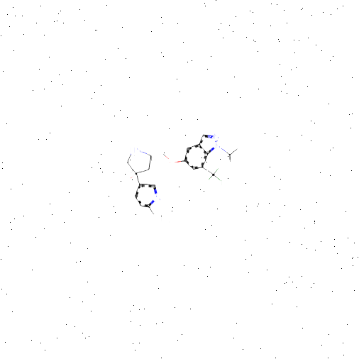 Cc1ccc([C@@]2(O)C[C@@H](COc3cc(C(F)(F)F)c4c(cnn4C(C)C)c3)N[C@@H](C)C2)cn1